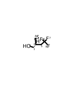 OC[C@H](CS)CC(F)(F)F